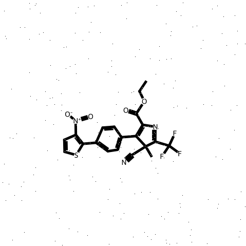 CCOC(=O)C1=C(c2ccc(-c3sccc3[N+](=O)[O-])cc2)C(C)(C#N)C(C(F)(F)F)=N1